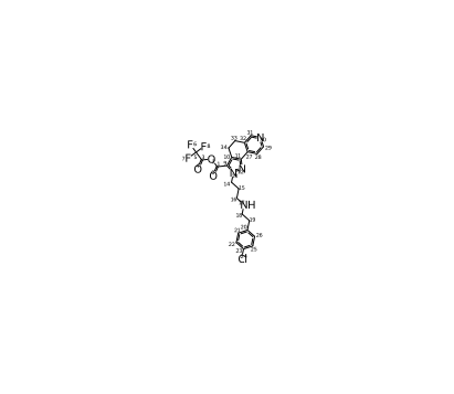 O=C(OC(=O)C(F)(F)F)c1c2c(nn1CCCNCCc1ccc(Cl)cc1)-c1ccncc1CC2